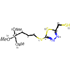 CO[Si](CCCSc1nnc(CS)s1)(OC)OC